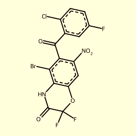 O=C(c1cc(F)ccc1Cl)c1c([N+](=O)[O-])cc2c(c1Br)NC(=O)C(F)(F)O2